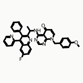 COc1ccc(Cn2ccc(=O)c3c(NC(C)c4nc5ccc(F)cc5c(-c5ccccn5)c4-c4ccccc4)ncnc32)cc1